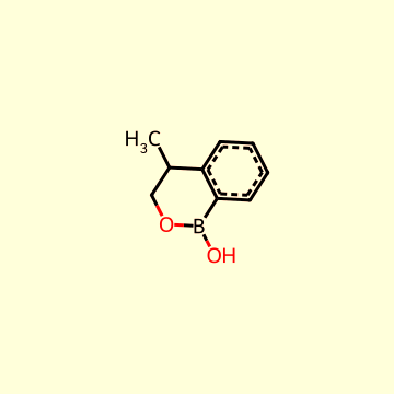 CC1COB(O)c2ccccc21